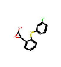 OC1OC1c1ccccc1Sc1cccc(Cl)c1